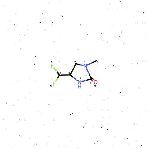 CN1CC(C(F)F)NC1=O